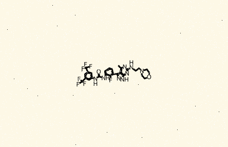 Cc1nc(NCCN2CCOCC2)nc2[nH]nc(-c3cccc(NC(=O)Nc4cc(C(F)(F)F)cc(C(F)(F)F)c4)c3F)c12